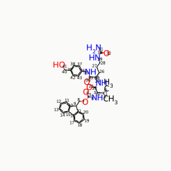 CC(C)[C@H](NC(=O)OCC1c2ccccc2-c2ccccc21)C(=O)N[C@H](CCCNC(N)=O)C(=O)Nc1ccc(CO)cc1